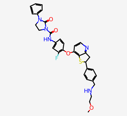 COCCNCc1ccc(C2Cc3nccc(Oc4ccc(NC(=O)N5CCN(c6ccccc6)C5=O)cc4F)c3S2)cc1